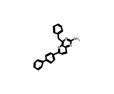 Nc1nc(Cc2ccccc2)c2nc(-c3ccc(-c4ccccc4)cc3)ccc2n1